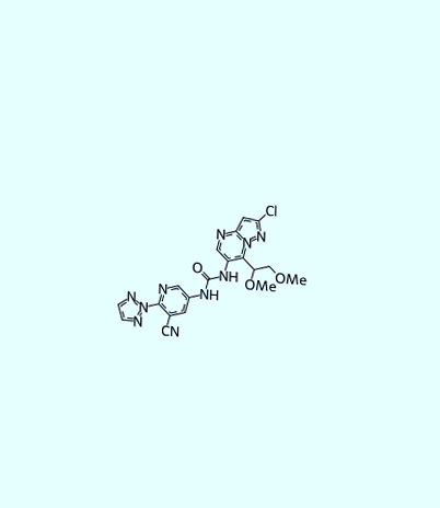 COCC(OC)c1c(NC(=O)Nc2cnc(-n3nccn3)c(C#N)c2)cnc2cc(Cl)nn12